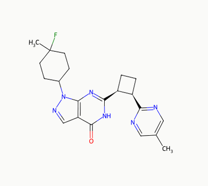 Cc1cnc([C@@H]2CC[C@@H]2c2nc3c(cnn3C3CCC(C)(F)CC3)c(=O)[nH]2)nc1